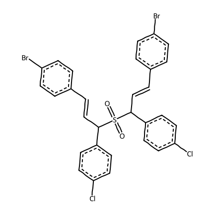 O=S(=O)(C(C=Cc1ccc(Br)cc1)c1ccc(Cl)cc1)C(C=Cc1ccc(Br)cc1)c1ccc(Cl)cc1